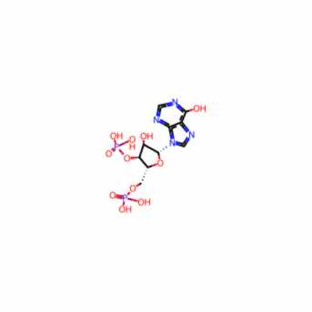 O=P(O)(O)OC[C@H]1O[C@@H](n2cnc3c(O)ncnc32)[C@H](O)[C@@H]1OP(=O)(O)O